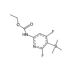 CCOC(=O)Nc1cc(F)c([Si](C)(C)C)c(F)n1